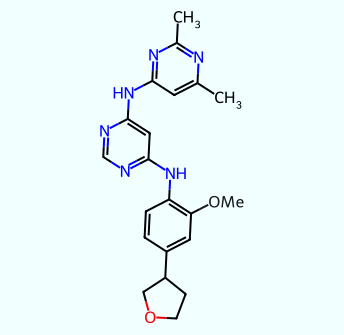 COc1cc(C2CCOC2)ccc1Nc1cc(Nc2cc(C)nc(C)n2)ncn1